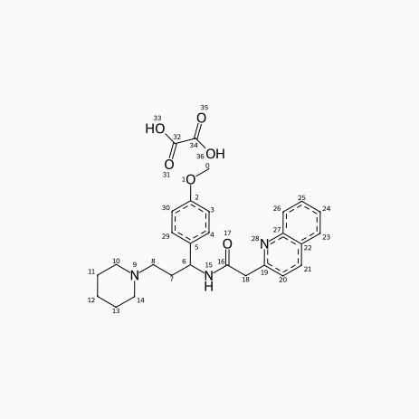 COc1ccc(C(CCN2CCCCC2)NC(=O)Cc2ccc3ccccc3n2)cc1.O=C(O)C(=O)O